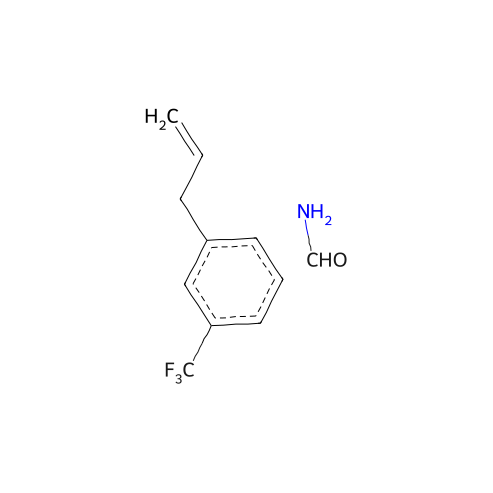 C=CCc1cccc(C(F)(F)F)c1.NC=O